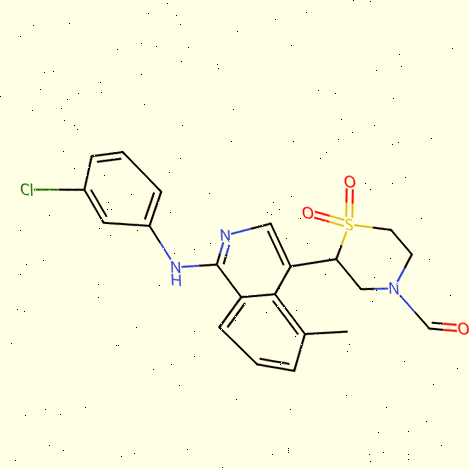 Cc1cccc2c(Nc3cccc(Cl)c3)ncc(C3CN(C=O)CCS3(=O)=O)c12